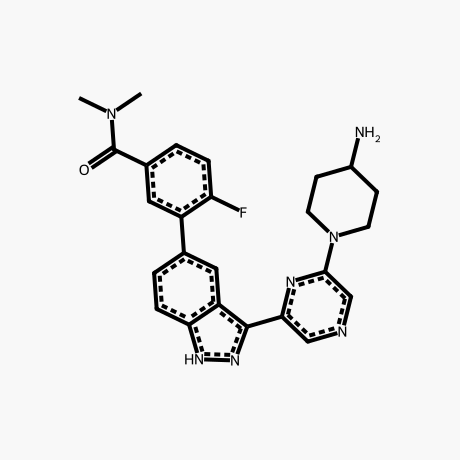 CN(C)C(=O)c1ccc(F)c(-c2ccc3[nH]nc(-c4cncc(N5CCC(N)CC5)n4)c3c2)c1